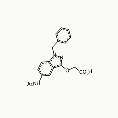 CC(=O)Nc1ccc2c(c1)c(OCC(=O)O)nn2Cc1ccccc1